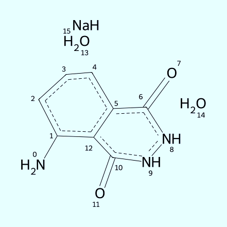 Nc1cccc2c(=O)[nH][nH]c(=O)c12.O.O.[NaH]